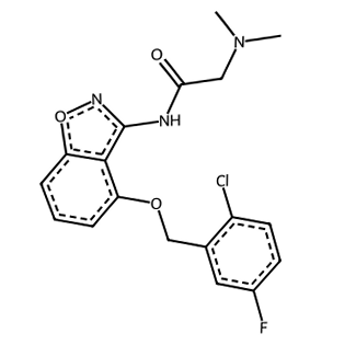 CN(C)CC(=O)Nc1noc2cccc(OCc3cc(F)ccc3Cl)c12